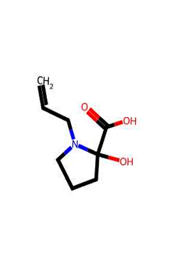 C=CCN1CCCC1(O)C(=O)O